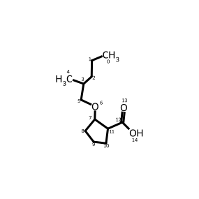 CCCC(C)COC1CCCC1C(=O)O